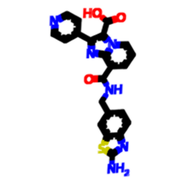 Nc1nc2ccc(CNC(=O)c3cccn4c(C(=O)O)c(-c5ccncc5)nc34)cc2s1